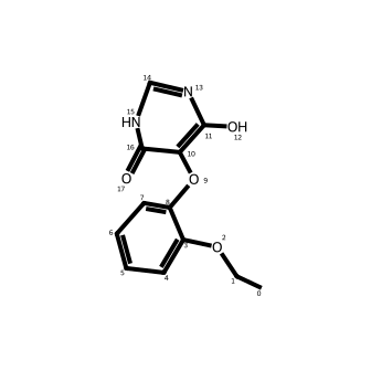 CCOc1ccccc1Oc1c(O)nc[nH]c1=O